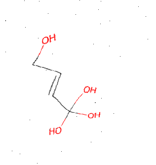 OCC=CC(O)(O)O